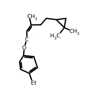 CCc1ccc(OCC=C(C)CCC2CC2(C)C)cc1